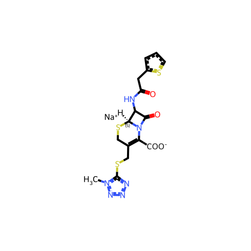 Cn1nnnc1SCC1=C(C(=O)[O-])N2C(=O)C(NC(=O)Cc3cccs3)[C@@H]2SC1.[Na+]